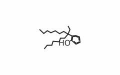 CCCCCCCC(CC)(CCCCCCC)c1ccccc1O